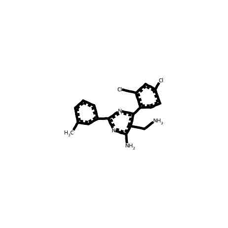 Cc1cccc(-c2nc(N)c(CN)c(-c3ccc(Cl)cc3Cl)n2)c1